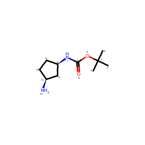 CC(C)(C)OC(=O)N[C@@H]1CC[C@H](N)C1